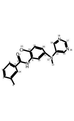 Cc1cccc(C(=O)Nc2cc(N(C)c3cncnc3)ccc2Cl)c1